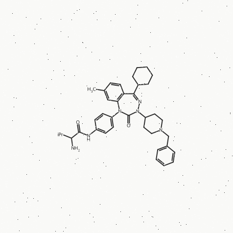 Cc1ccc2c(c1)N(c1ccc(NC(=O)C(N)C(C)C)cc1)C(=O)N(C1CCN(Cc3ccccc3)CC1)N=C2C1CCCCC1